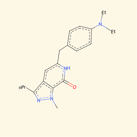 CCCc1nn(C)c2c(=O)[nH]c(Cc3ccc(N(CC)CC)cc3)cc12